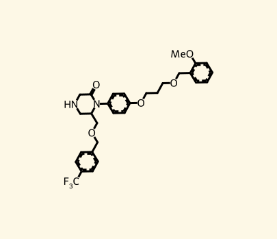 COc1ccccc1COCCCOc1ccc(N2C(=O)CNCC2COCc2ccc(C(F)(F)F)cc2)cc1